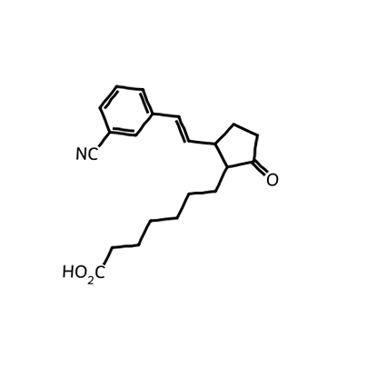 N#Cc1cccc(C=CC2CCC(=O)C2CCCCCCC(=O)O)c1